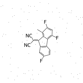 Cc1c(F)cc(F)c2c1C(=C(C#N)C#N)c1cc(F)ccc1-2